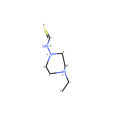 CCN1CCN(NC=S)CC1